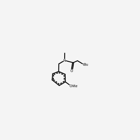 COc1cccc(CN(C)C(=O)CC(C)(C)C)c1